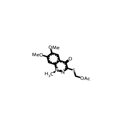 COc1cc2c(=O)c(SCOC(C)=O)nn(C)c2cc1OC